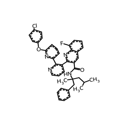 CC(C)CC(C)(Cc1ccccc1)NC(=O)c1cc2cccc(F)c2nc1-c1cccnc1-c1cccc(Oc2ccc(Cl)cc2)n1